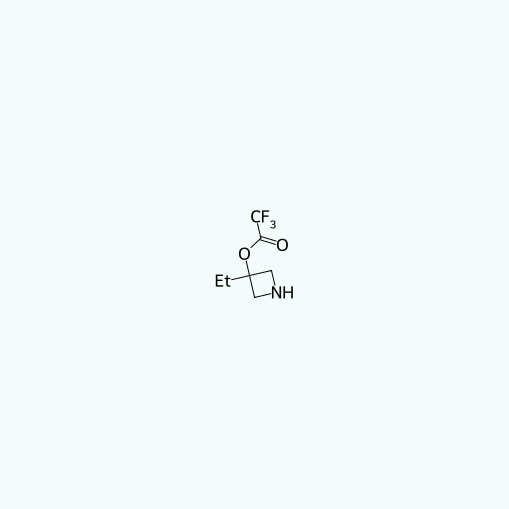 CCC1(OC(=O)C(F)(F)F)CNC1